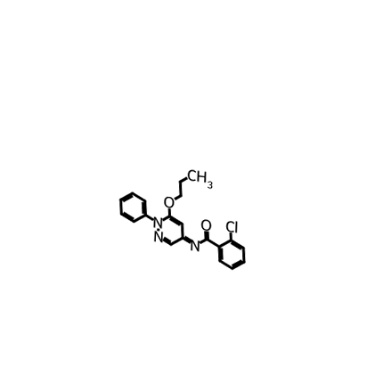 CCCOc1c/c(=N\C(=O)c2ccccc2Cl)cnn1-c1ccccc1